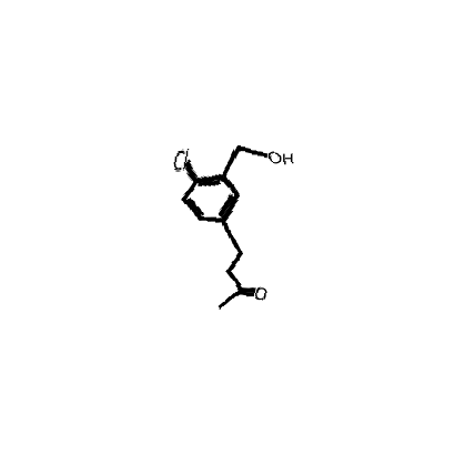 CC(=O)CCc1ccc(Cl)c(CO)c1